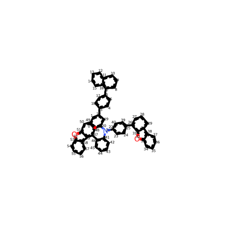 c1cc(-c2ccc(-c3cccc4ccccc34)cc2)cc(N(c2ccc(-c3cccc4c3oc3ccccc34)cc2)c2ccccc2-c2cccc3oc4ccccc4c23)c1